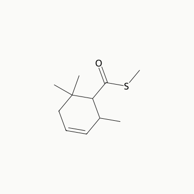 CSC(=O)C1C(C)C=CCC1(C)C